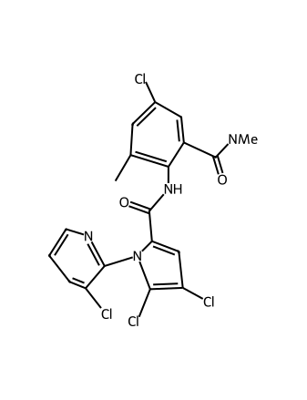 CNC(=O)c1cc(Cl)cc(C)c1NC(=O)c1cc(Cl)c(Cl)n1-c1ncccc1Cl